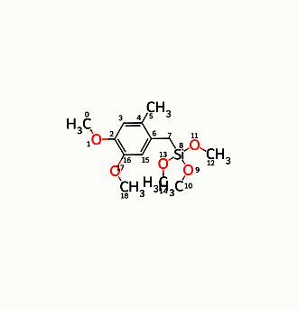 COc1cc(C)c(C[Si](OC)(OC)OC)cc1OC